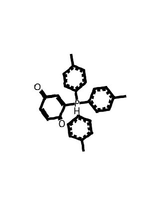 Cc1ccc([PH](C2=CC(=O)C=CC2=O)(c2ccc(C)cc2)c2ccc(C)cc2)cc1